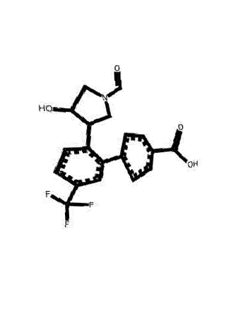 O=CN1CC(O)C(c2ccc(C(F)(F)F)cc2-c2ccc(C(=O)O)cc2)C1